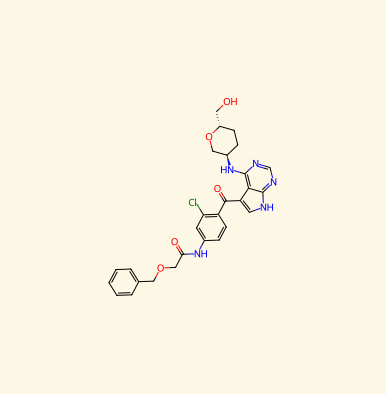 O=C(COCc1ccccc1)Nc1ccc(C(=O)c2c[nH]c3ncnc(N[C@@H]4CC[C@@H](CO)OC4)c23)c(Cl)c1